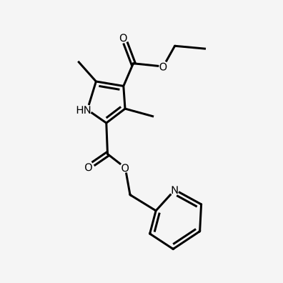 CCOC(=O)c1c(C)[nH]c(C(=O)OCc2ccccn2)c1C